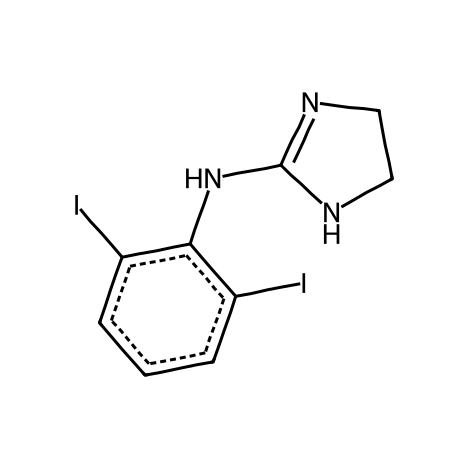 Ic1cccc(I)c1NC1=NCCN1